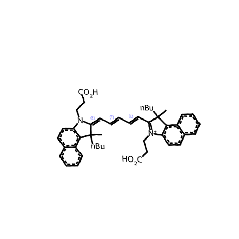 CCCCC1(C)C(/C=C/C=C/C=C2/N(CCC(=O)O)c3ccc4ccccc4c3C2(C)CCCC)=[N+](CCC(=O)O)c2ccc3ccccc3c21